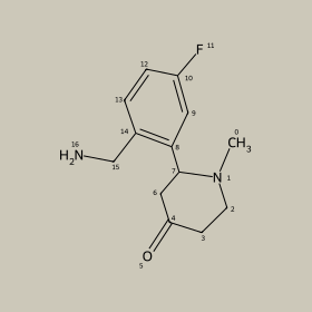 CN1CCC(=O)CC1c1cc(F)ccc1CN